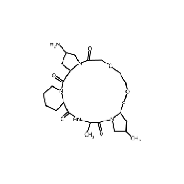 CC1CC2COCCCCC(=O)N3CC(N)CC3C(=O)N3CCCCC3C(=O)NC(C)C(=O)N2C1